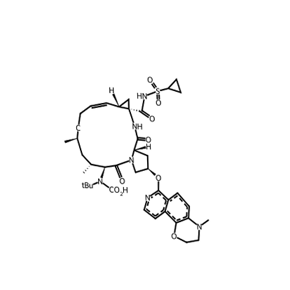 C[C@H]1CC/C=C\[C@@H]2C[C@@]2(C(=O)NS(=O)(=O)C2CC2)NC(=O)[C@@H]2C[C@@H](Oc3nccc4c5c(ccc34)N(C)CCO5)CN2C(=O)[C@@H](N(C(=O)O)C(C)(C)C)[C@H](C)C1